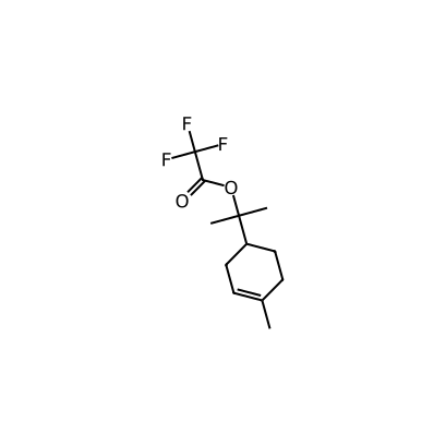 CC1=CCC(C(C)(C)OC(=O)C(F)(F)F)CC1